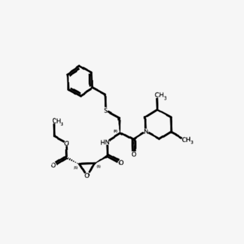 CCOC(=O)[C@H]1O[C@@H]1C(=O)N[C@@H](CSCc1ccccc1)C(=O)N1CC(C)CC(C)C1